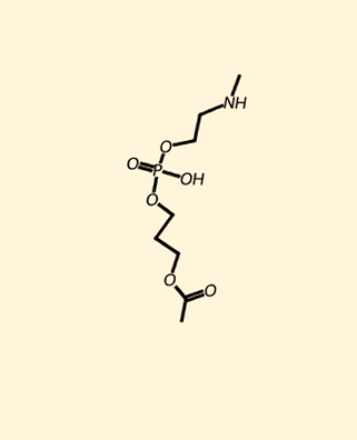 CNCCOP(=O)(O)OCCCOC(C)=O